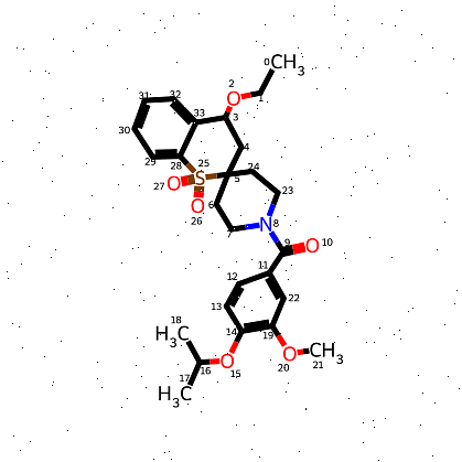 CCOC1CC2(CCN(C(=O)c3ccc(OC(C)C)c(OC)c3)CC2)S(=O)(=O)c2ccccc21